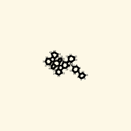 c1ccc(-c2ccc(-n3c4ccccc4c4cc5c(cc43)-c3ccccc3C53c4ccccc4C4(c5ccccc5-c5ccccc54)c4ccccc43)cc2)cc1